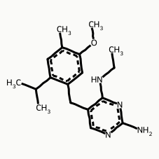 CCNc1nc(N)ncc1Cc1cc(OC)c(C)cc1C(C)C